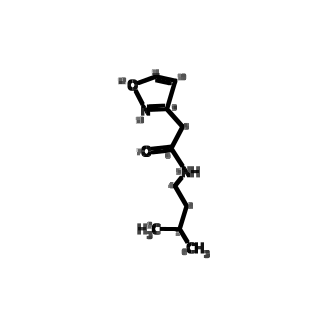 CC(C)CCNC(=O)Cc1ccon1